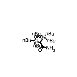 CCCC[Si](CCCC)(CCCC)C(C(N)=O)[Si](CCCC)(CCCC)CCCC